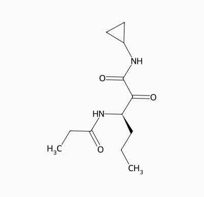 CCC[C@@H](NC(=O)CC)C(=O)C(=O)NC1CC1